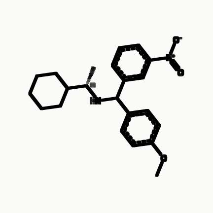 COc1ccc(C(N[C@@H](C)C2CCCCC2)c2cccc([N+](=O)[O-])c2)cc1